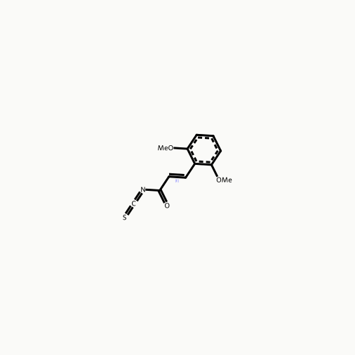 COc1cccc(OC)c1/C=C/C(=O)N=C=S